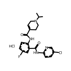 CC(C)N1CC=C(C(=O)Nc2ccc(F)cc2C(=O)Nc2ccc(Cl)cn2)CC1.Cl